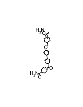 C=C(ON)N1CCC(COc2ccc(C3=CCC(C(=O)N4CCC(C(N)=O)CC4)CC3)cc2)CC1